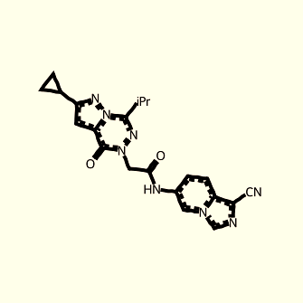 CC(C)c1nn(CC(=O)Nc2ccc3c(C#N)ncn3c2)c(=O)c2cc(C3CC3)nn12